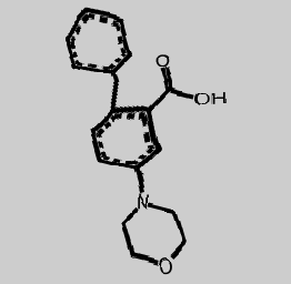 O=C(O)c1cc(N2CCOCC2)ccc1-c1ccccc1